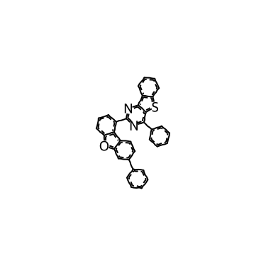 c1ccc(-c2ccc3c(c2)oc2cccc(-c4nc(-c5ccccc5)c5sc6ccccc6c5n4)c23)cc1